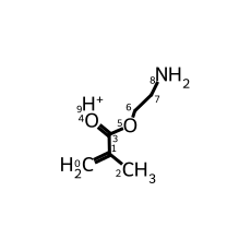 C=C(C)C(=O)OCCN.[H+]